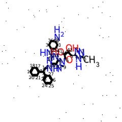 Cc1nnc([C@H]2O[C@@H](n3cnc4c(NCC(c5ccccc5)c5ccccc5)nc(NC5CCC(N)CC5)nc43)[C@H](O)[C@@H]2O)[nH]1